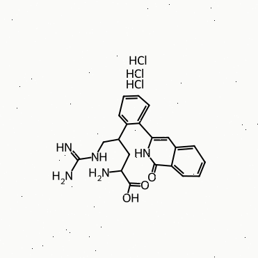 Cl.Cl.Cl.N=C(N)NCC(CC(N)C(=O)O)c1ccccc1-c1cc2ccccc2c(=O)[nH]1